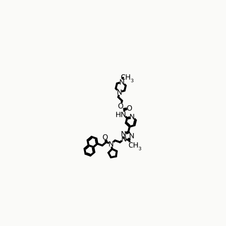 Cc1nc(-c2ccnc(NC(=O)OCCN3CCN(C)CC3)c2)nn1CCN(C(=O)Cc1cccc2ccccc12)C1CCCC1